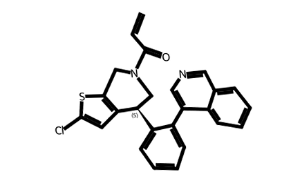 C=CC(=O)N1Cc2sc(Cl)cc2[C@H](c2ccccc2-c2cncc3ccccc23)C1